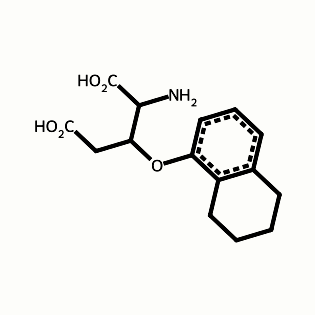 NC(C(=O)O)C(CC(=O)O)Oc1cccc2c1CCCC2